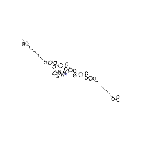 C=CC(=O)OCCCCCCCCCCCCOc1ccc(OC(=O)[C@H]2CC[C@H](C(=O)Oc3ccc(OC(=O)[C@H]4CC[C@H](C(=O)Oc5ccc(OCCCCCCCCCCCCOC(=O)C=C)cc5)CC4)c(/C=N/N(C)c4nc5ccccc5s4)c3)CC2)cc1